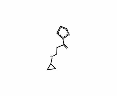 O=C(CCNC1CC1)n1cccn1